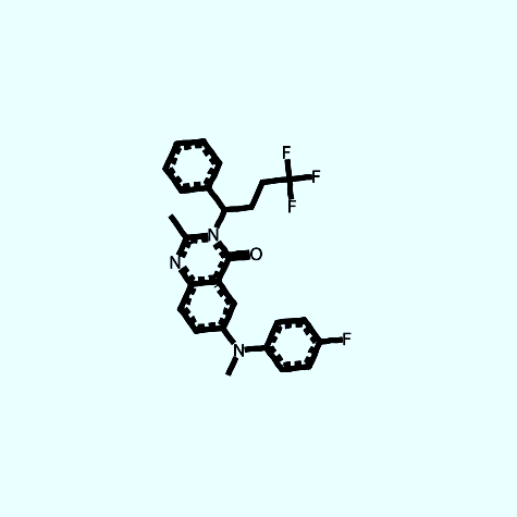 Cc1nc2ccc(N(C)c3ccc(F)cc3)cc2c(=O)n1C(CCC(F)(F)F)c1ccccc1